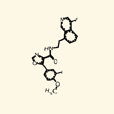 COc1ccc(-c2ocnc2C(=O)NCCc2cccc3c(F)cncc23)cc1I